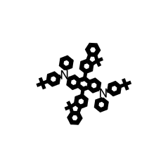 CC(C)(C)c1ccc(N(c2ccccc2)c2ccc3c(-c4ccc5c(c4)C(C)(C)c4ccccc4-5)c4cc(N(c5ccccc5)c5ccc(C(C)(C)C)cc5)ccc4c(-c4ccc5c(c4)C(C)(C)c4ccccc4-5)c3c2)cc1